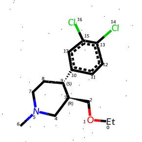 CCOC[C@H]1CN(C)CC[C@@H]1c1ccc(Cl)c(Cl)c1